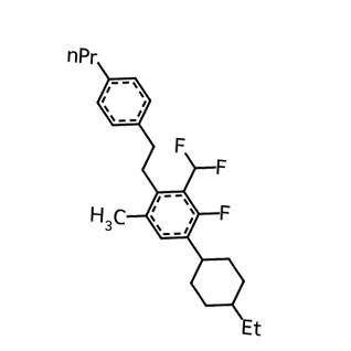 CCCc1ccc(CCc2c(C)cc(C3CCC(CC)CC3)c(F)c2C(F)F)cc1